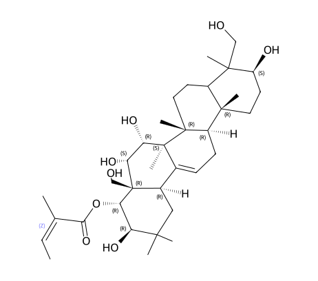 C/C=C(/C)C(=O)O[C@H]1[C@H](O)C(C)(C)C[C@@H]2C3=CC[C@@H]4[C@@]5(C)CC[C@H](O)C(C)(CO)C5CC[C@@]4(C)[C@]3(C)[C@@H](O)[C@@H](O)[C@]21CO